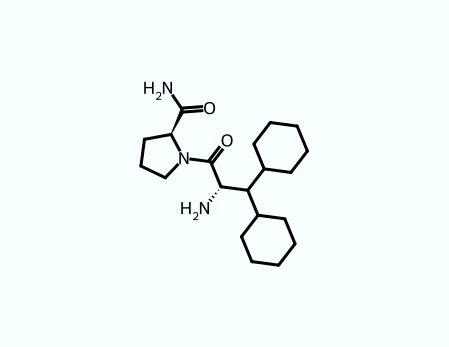 NC(=O)[C@@H]1CCCN1C(=O)[C@@H](N)C(C1CCCCC1)C1CCCCC1